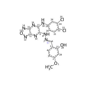 COc1ccc(/C=N/Nc2nc3nonc3nc2Nc2ccc(Cl)c(Cl)c2)c(O)c1